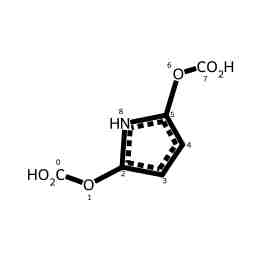 O=C(O)Oc1ccc(OC(=O)O)[nH]1